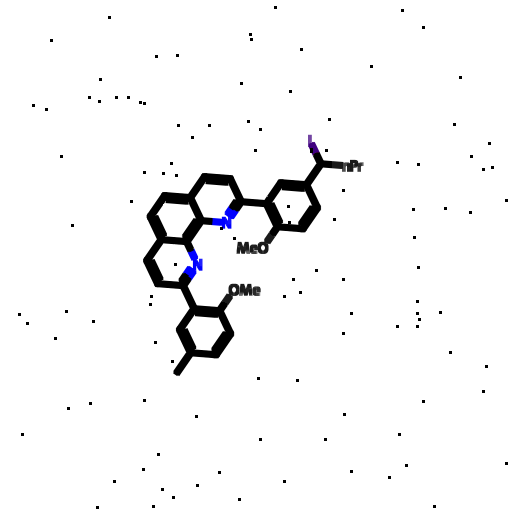 CCCC(I)c1ccc(OC)c(-c2ccc3ccc4ccc(-c5cc(C)ccc5OC)nc4c3n2)c1